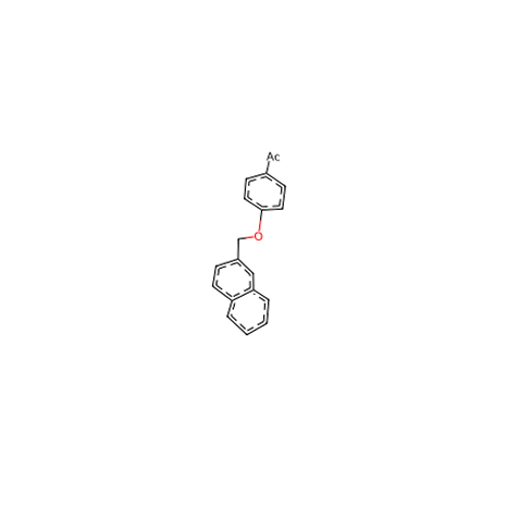 CC(=O)c1ccc(OCc2ccc3ccccc3c2)cc1